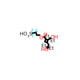 CCC(O)(CC)CC1CC(C(=O)OCCC(F)C(F)(F)S(=O)(=O)O)C1C(O)(CC)CC